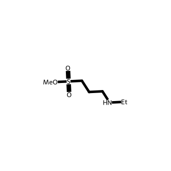 CCNCCCS(=O)(=O)OC